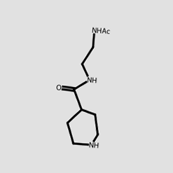 CC(=O)NCCNC(=O)C1CCNCC1